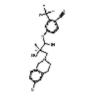 C[C@](O)(CN1CCc2cc(Br)ccc2C1)C(O)Nc1ccc(C#N)c(C(F)(F)F)c1